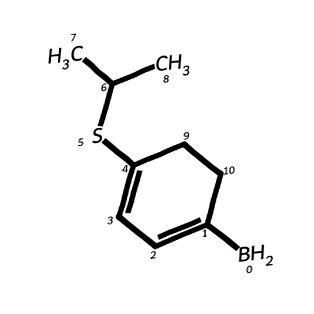 BC1=CC=C(SC(C)C)CC1